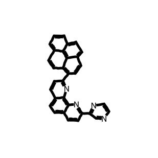 c1cc2ccc3ccc(-c4ccc5ccc6ccc(-c7cnccn7)nc6c5n4)c4ccc(c1)c2c34